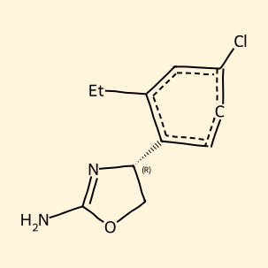 CCc1cc(Cl)ccc1[C@@H]1COC(N)=N1